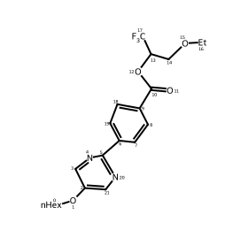 CCCCCCOc1cnc(-c2ccc(C(=O)OC(COCC)C(F)(F)F)cc2)nc1